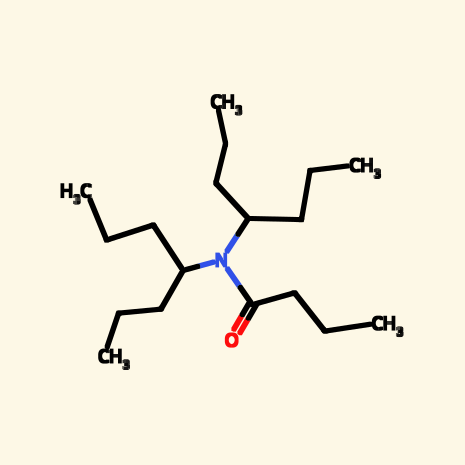 CCCC(=O)N(C(CCC)CCC)C(CCC)CCC